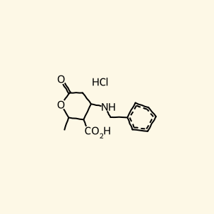 CC1OC(=O)CC(NCc2ccccc2)C1C(=O)O.Cl